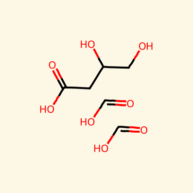 O=C(O)CC(O)CO.O=CO.O=CO